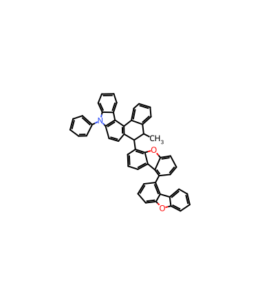 CC1c2ccccc2-c2c(ccc3c2c2ccccc2n3-c2ccccc2)C1c1cccc2c1oc1cccc(-c3cccc4oc5ccccc5c34)c12